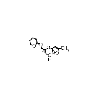 Cc1cc(O[C@@H](CO)COC2CCCCO2)no1